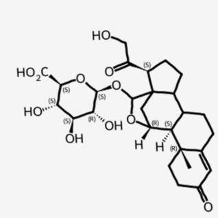 C[C@]12CCC(=O)C=C1CCC1C3CC[C@H](C(=O)CO)C34C[C@@H](OC4O[C@@H]3O[C@H](C(=O)O)[C@@H](O)[C@H](O)[C@H]3O)[C@@H]12